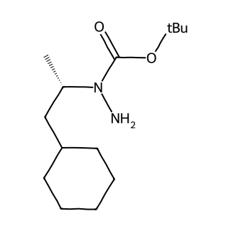 C[C@@H](CC1CCCCC1)N(N)C(=O)OC(C)(C)C